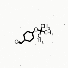 CC(C)(C)OC1CCC(C=O)CC1